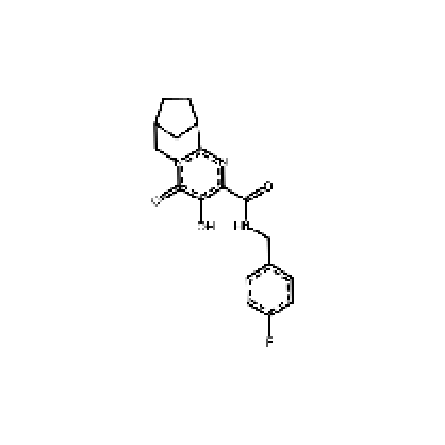 O=C(NCc1ccc(F)cc1)c1nc2n(c(=O)c1O)CC1CCC2C1